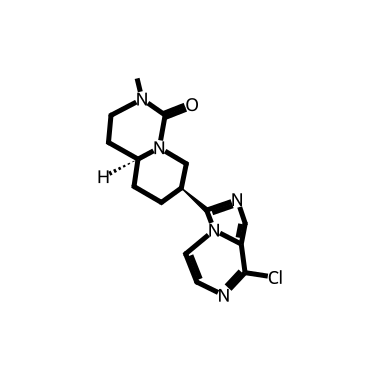 CN1CC[C@@H]2CC[C@H](c3ncc4c(Cl)nccn34)CN2C1=O